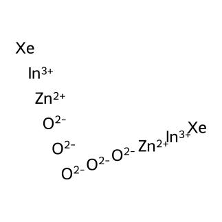 [In+3].[In+3].[O-2].[O-2].[O-2].[O-2].[O-2].[Xe].[Xe].[Zn+2].[Zn+2]